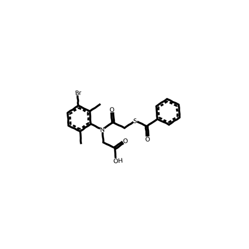 Cc1ccc(Br)c(C)c1N(CC(=O)O)C(=O)CSC(=O)c1ccccc1